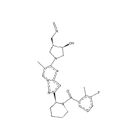 C=NC[C@@H]1CN(c2nc3cc([C@@H]4CCCCN4C(=O)c4cccc(F)c4C)nn3cc2C)C[C@@H]1O